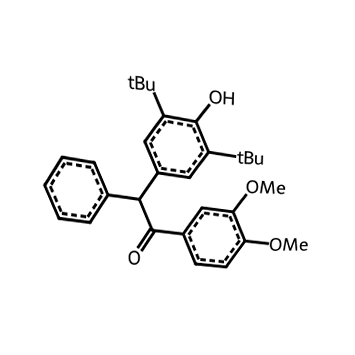 COc1ccc(C(=O)C(c2ccccc2)c2cc(C(C)(C)C)c(O)c(C(C)(C)C)c2)cc1OC